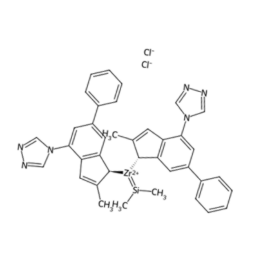 CC1=Cc2c(cc(-c3ccccc3)cc2-n2cnnc2)[C@@H]1[Zr+2]([C@H]1C(C)=Cc2c1cc(-c1ccccc1)cc2-n1cnnc1)=[Si](C)C.[Cl-].[Cl-]